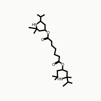 CC(C)C1CC(OC(=O)CCCCCC(=O)OC2CC(C)(C)NC(C)(C(C)C)C2)CC(C)(C)N1